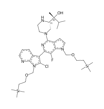 CC(C)[C@@](C)(O)[C@@H]1CN(c2nc(-c3c(Cl)n(COCC[Si](C)(C)C)c4ncccc34)c(F)c3c2ccn3COCC[Si](C)(C)C)CCN1